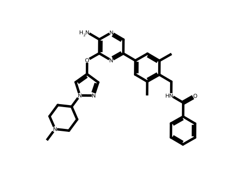 Cc1cc(-c2cnc(N)c(Oc3cnn(C4CCN(C)CC4)c3)n2)cc(C)c1CNC(=O)c1ccccc1